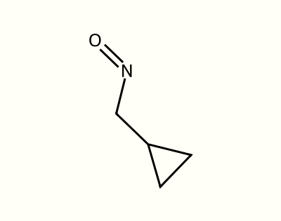 O=NCC1CC1